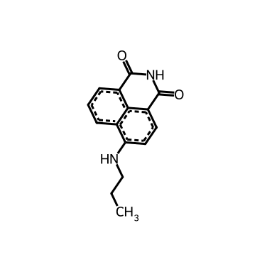 CCCNc1ccc2c3c(cccc13)C(=O)NC2=O